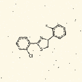 Fc1ccccc1C1CSC(c2ccccc2Cl)=N1